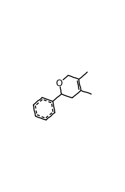 CC1=C(C)CC(c2ccccc2)OC1